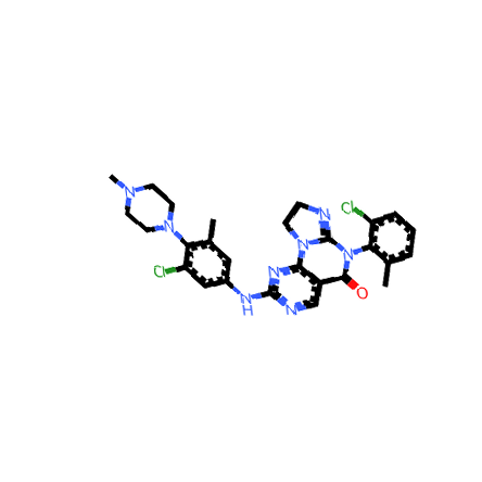 Cc1cc(Nc2ncc3c(n2)N2CCN=C2N(c2c(C)cccc2Cl)C3=O)cc(Cl)c1N1CCN(C)CC1